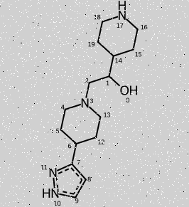 OC(CN1CCC(c2cc[nH]n2)CC1)C1CCNCC1